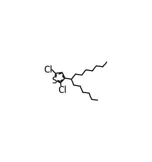 CCCCCCCC(CCCCCC)c1cc(Cl)sc1Cl